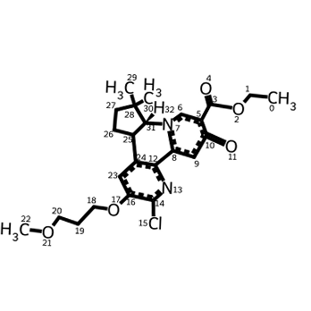 CCOC(=O)c1cn2c(cc1=O)-c1nc(Cl)c(OCCCOC)cc1C1CCC(C)(C)[C@@H]12